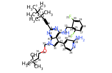 CC(C)(C)[Si](C)(C)C#Cc1nc(NCc2c(F)cccc2F)c2c(-c3ccnc(N)c3)cn(COCC[Si](C)(C)C)c2n1